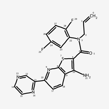 C=CCN(C(=O)c1sc2nc(-c3cnccn3)ccc2c1N)c1cc(F)ccc1F